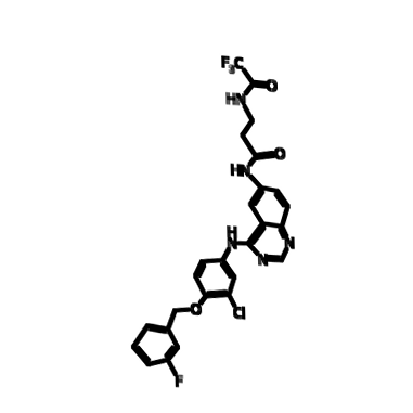 O=C(CCNC(=O)C(F)(F)F)Nc1ccc2ncnc(Nc3ccc(OCc4cccc(F)c4)c(Cl)c3)c2c1